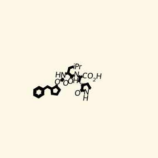 CC(C)CC(NC(=O)OC1CCCC1Cc1ccccc1)C(=O)NC(C[C@@H]1CCNC1=O)C(=O)O